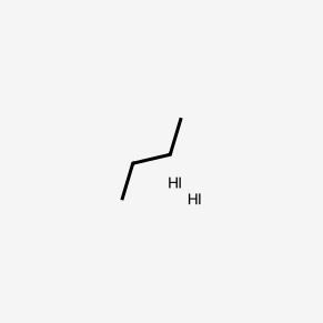 CCCC.I.I